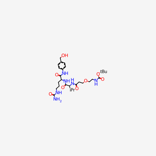 CC(C)C(NC(=O)CCOCCNC(=O)OC(C)(C)C)C(=O)NC(CCCNC(N)=O)C(=O)Nc1ccc(CO)cc1